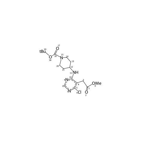 COC(=O)Cc1c(Cl)ncnc1NC1CCN(C(=O)OC(C)(C)C)CC1